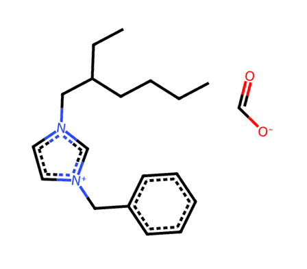 CCCCC(CC)Cn1cc[n+](Cc2ccccc2)c1.O=C[O-]